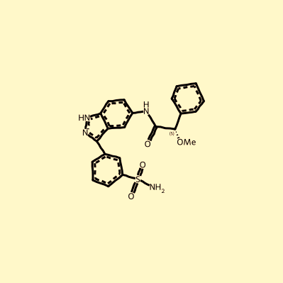 CO[C@H](C(=O)Nc1ccc2[nH]nc(-c3cccc(S(N)(=O)=O)c3)c2c1)c1ccccc1